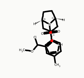 COC(Cl)c1cn[nH]c1S(=O)(=O)N1[C@@H]2CC[C@H]1C[C@H](N1CCC(C)CC1)C2